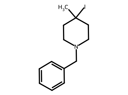 CC1(I)CCN(Cc2ccccc2)CC1